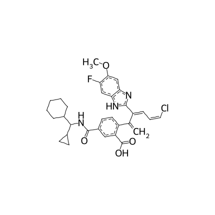 C=C(/C(=C\C=C/Cl)c1nc2cc(OC)c(F)cc2[nH]1)c1ccc(C(=O)NC(C2CCCCC2)C2CC2)cc1C(=O)O